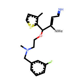 CN/C(=C\C=N)C(OCCN(C)Cc1cccc(F)c1)c1sccc1C